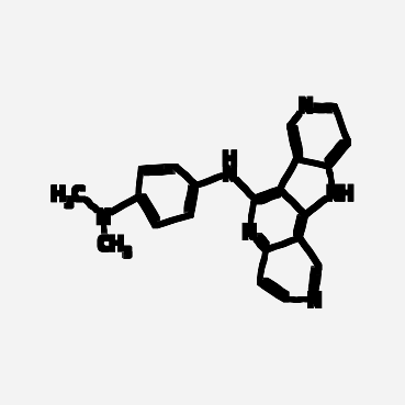 CN(C)c1ccc(Nc2nc3ccncc3c3[nH]c4ccncc4c23)cc1